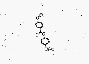 CCOc1ccc(C(=O)Oc2ccc(OC(C)=O)cc2)cc1